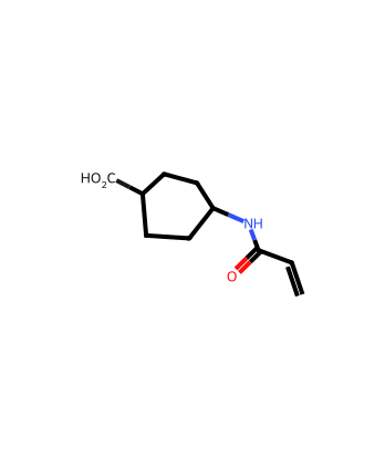 C=CC(=O)NC1CCC(C(=O)O)CC1